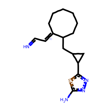 N=C/C=C1\CCCCCCC1CC1CC1c1nnc(N)s1